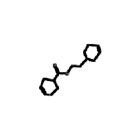 O=C(OCCC1CC=CCC1)C1CC=CCC1